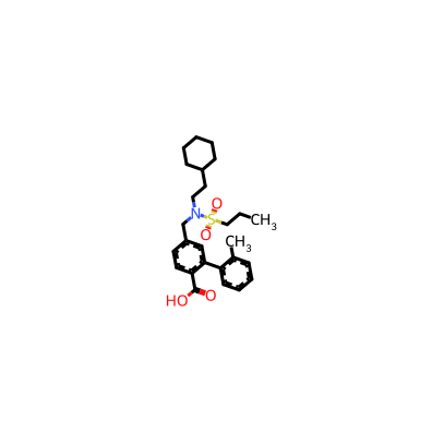 CCCS(=O)(=O)N(CCC1CCCCC1)Cc1ccc(C(=O)O)c(-c2ccccc2C)c1